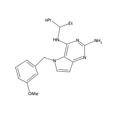 CCCC(CC)Nc1nc(N)nc2ccn(Cc3cccc(OC)c3)c12